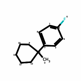 CC1(c2ccc(F)cc2)CCCCC1